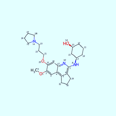 COc1cc2c3c(c(N[C@@H]4CCC[C@H](O)C4)nc2cc1OCCCN1CCCC1)CCC3